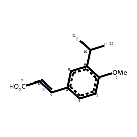 COc1ccc(/C=C/C(=O)O)cc1C(F)F